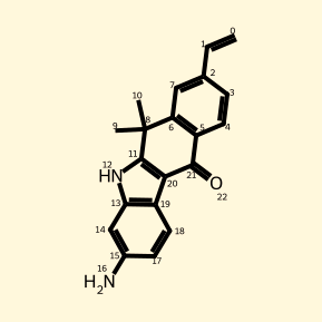 C=Cc1ccc2c(c1)C(C)(C)c1[nH]c3cc(N)ccc3c1C2=O